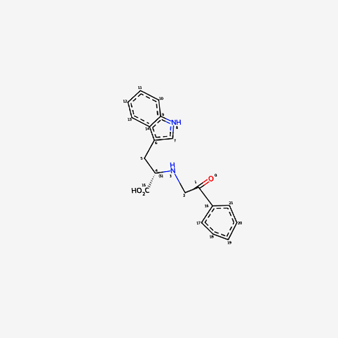 O=C(CN[C@@H](Cc1c[nH]c2ccccc12)C(=O)O)c1ccccc1